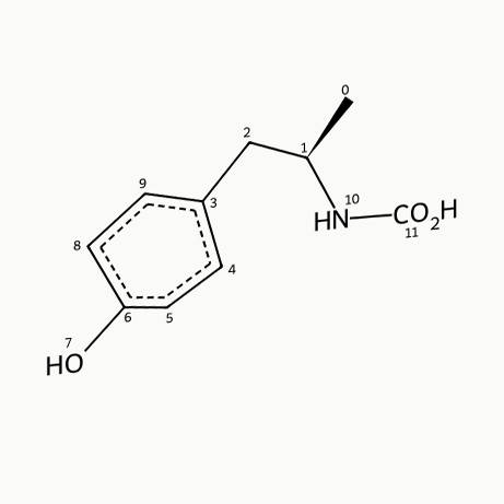 C[C@H](Cc1ccc(O)cc1)NC(=O)O